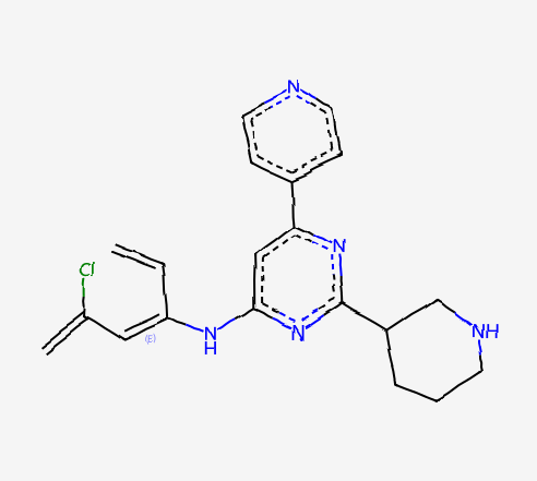 C=C/C(=C\C(=C)Cl)Nc1cc(-c2ccncc2)nc(C2CCCNC2)n1